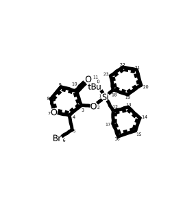 CC(C)(C)[Si](Oc1c(CBr)occc1=O)(c1ccccc1)c1ccccc1